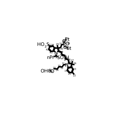 CCCC(N1C(=CC=CC=CC2=[N+](CCCCCOC=O)c3ccc(C)cc3C2(C)C)C(C)(CCP(=O)(OCC)OCC)c2cc(S(=O)(=O)O)ccc21)S(=O)(=O)O